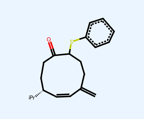 C=C1C=C[C@H](C(C)C)CCC(=O)C(Sc2ccccc2)CC1